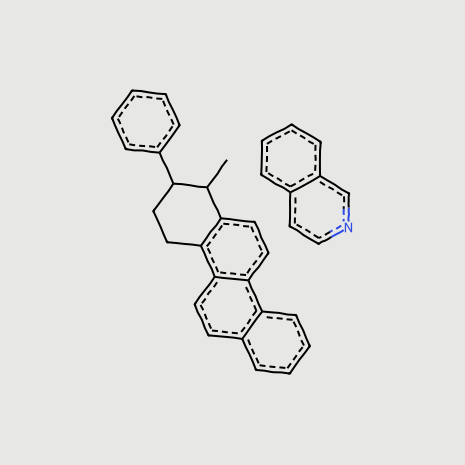 CC1c2ccc3c(ccc4ccccc43)c2CCC1c1ccccc1.c1ccc2cnccc2c1